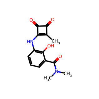 Cc1c(Nc2cccc(C(=O)N(C)C)c2O)c(=O)c1=O